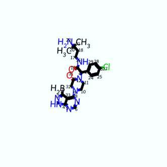 Bc1n[nH]c2ncnc(N3CCN(C(C(=O)NCCC(C)(C)N)c4ccc(Cl)cc4)C(=O)C3)c12